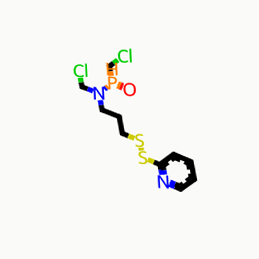 O=[PH](CCl)N(CCl)CCCSSc1ccccn1